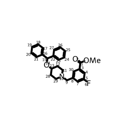 COC(=O)c1cc(F)cc(CN2CCC(OC(c3ccccc3)c3ccccc3)CC2)c1